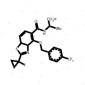 CC(C)(C)C(NC(=O)C1=C(OCc2ccc(C(F)(F)F)cc2)C2N=C(C3(F)CC3)SC2C=C1)C(=O)O